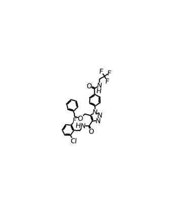 O=C(NCC(F)(F)F)c1ccc(-n2nnc(C(=O)NCc3c(F)cccc3Cl)c2COCc2ccccc2)cc1